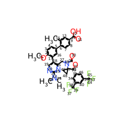 COc1ccc(-c2ccc(C(=O)O)cc2C)cc1-c1cnc(N(C)C)nc1CN1C(=O)O[C@H](c2cc(C(F)(F)F)cc(C(F)(F)F)c2)C12CC2